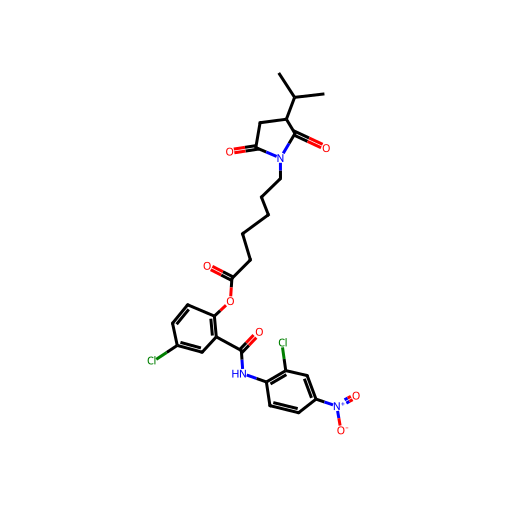 CC(C)C1CC(=O)N(CCCCCC(=O)Oc2ccc(Cl)cc2C(=O)Nc2ccc([N+](=O)[O-])cc2Cl)C1=O